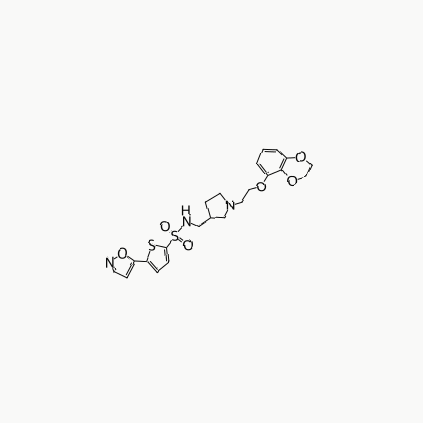 O=S(=O)(NCC1CCN(CCOc2cccc3c2OCCO3)C1)c1ccc(-c2ccno2)s1